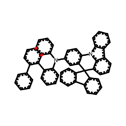 c1ccc(-c2ccccc2-c2ccccc2N(c2ccccc2)c2ccc3c(c2)C2(c4ccccc4-c4ccccc42)c2cccc4c5ccccc5n-3c24)cc1